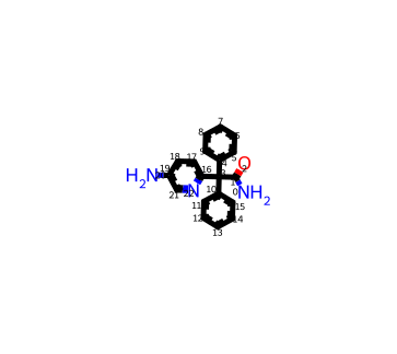 NC(=O)C(c1ccccc1)(c1ccccc1)c1ccc(N)cn1